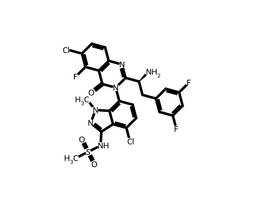 Cn1nc(NS(C)(=O)=O)c2c(Cl)ccc(-n3c([C@@H](N)Cc4cc(F)cc(F)c4)nc4ccc(Cl)c(F)c4c3=O)c21